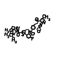 Cc1cnc(N2CC3(CCOCC3)C2)c(C(=O)CCc2ccc(C(=O)N3CCc4cc(C(=O)NC5CC(C)(C)OC(C)(C)C5)sc4-c4ccc(F)cc43)cc2)c1